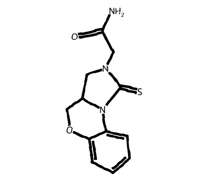 NC(=O)CN1CC2COc3ccccc3N2C1=S